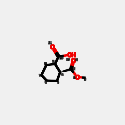 COC(=O)[C@@H]1CCCCC1C(=O)O